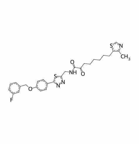 Cc1ncsc1CCCCCCC(=O)C(=O)NCc1nnc(-c2ccc(OCc3cccc(F)c3)cc2)s1